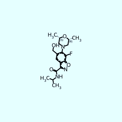 CC(C)NC(=O)c1noc2c(F)c(N3C[C@@H](C)O[C@@H](C)C3)c(CO)cc12